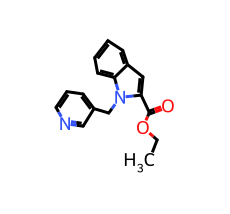 CCOC(=O)c1cc2ccccc2n1Cc1cccnc1